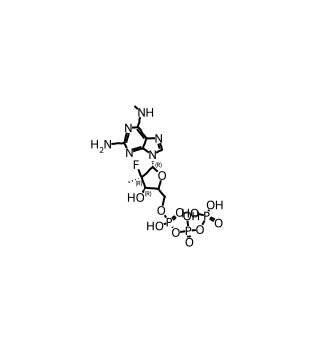 CNc1nc(N)nc2c1ncn2[C@@H]1OC(COP(=O)(O)OP(=O)(O)OP(=O)(O)O)[C@@H](O)[C@@]1(C)F